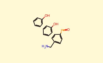 NCc1ccc(P=O)cc1.Oc1ccccc1.Oc1ccccc1